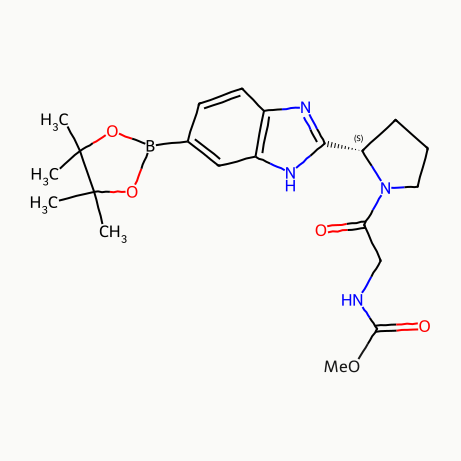 COC(=O)NCC(=O)N1CCC[C@H]1c1nc2ccc(B3OC(C)(C)C(C)(C)O3)cc2[nH]1